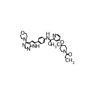 C=CC(=O)N1CCC(C)(Oc2ccnc(C(=O)Nc3ccc(-c4cc5c(N6CCOCC6)ncnc5[nH]4)cc3)c2)CC1